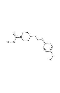 CC(C)(C)OC(=O)N1CCN(CCOc2ccc(CO)cc2)CC1